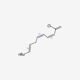 C=C(Cl)/C=C\C=C/C/C=C/CCCC